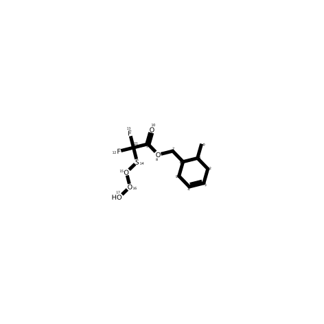 CC1CC=CCC1COC(=O)C(F)(F)SOOO